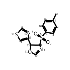 Cc1ccc(S(=O)(=O)C2N=COC2c2cscn2)cc1